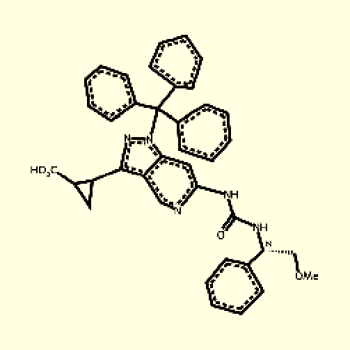 COC[C@@H](NC(=O)Nc1cc2c(cn1)c(C1CC1C(=O)O)nn2C(c1ccccc1)(c1ccccc1)c1ccccc1)c1ccccc1